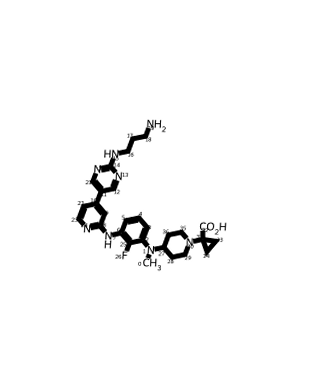 CN(c1cccc(Nc2cc(-c3cnc(NCCCN)nc3)ccn2)c1F)C1CCN(C2(C(=O)O)CC2)CC1